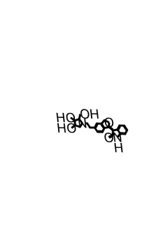 O=C1Nc2ccccc2C1=C1OCc2cc(CCN3CC(O)C(O)C3CO)ccc21